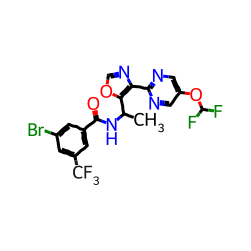 CC(NC(=O)c1cc(Br)cc(C(F)(F)F)c1)c1ocnc1-c1ncc(OC(F)F)cn1